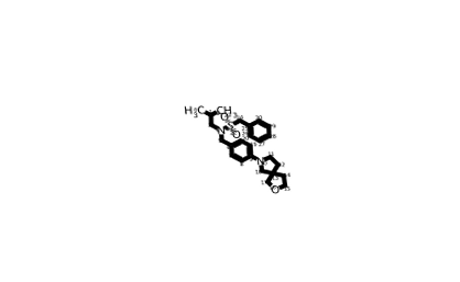 CC(C)CN(Cc1ccc(N2CCC3(CCOC3)C2)cc1)S(=O)(=O)Cc1ccccc1